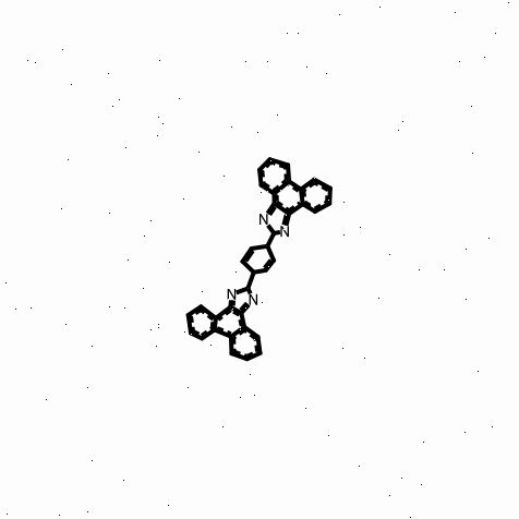 C1=CC(C2N=c3c(c4ccccc4c4ccccc34)=N2)C=CC1C1N=c2c(c3ccccc3c3ccccc23)=N1